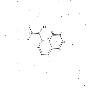 CN(C)C(O)c1cccc2ccnnc12